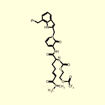 CC(C)Cc1cccc2cc(Cn3cccc(NC(=O)C(CCC=CC(=O)N(C)C)NC(=O)OCCOC(=O)C(F)(F)F)c3=O)[nH]c12